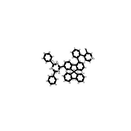 Cc1cnccc1-c1ccccc1-c1cccc2c1-c1ccc(-c3nc(-c4ccccc4)nc(-c4ccccc4)n3)cc1C21c2ccccc2-c2ccccc21